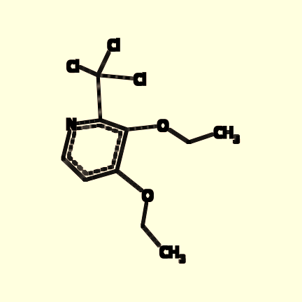 CCOc1ccnc(C(Cl)(Cl)Cl)c1OCC